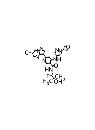 CC(C)(O)C(F)CNC(=O)c1cnc(-c2cnn3cc(Cl)cnc23)cc1Nc1cnn(C2COC2)c1